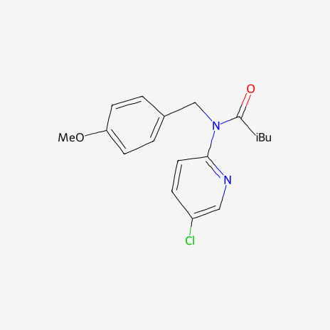 CCC(C)C(=O)N(Cc1ccc(OC)cc1)c1ccc(Cl)cn1